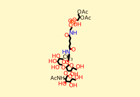 CC(=O)NC1C(OC2C(O)C(CO)OC(OCCCNC(=O)CCCCC(=O)NCCOP(=O)(O)OCC(COC(C)=O)OC(C)=O)[C@@H]2O[C@@H]2OC(C)[C@@H](O)[C@@H](O)C2O)OC(CO)C(O)C1O